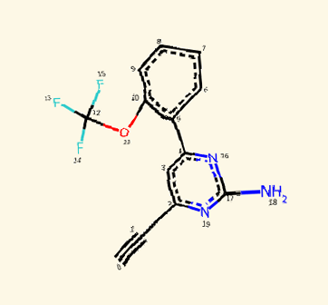 C#Cc1cc(-c2ccccc2OC(F)(F)F)nc(N)n1